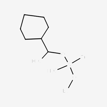 CCO[Si](C)(CC)OC(C)C1CCCCC1